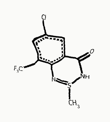 CS1=Nc2c(cc(Cl)cc2C(F)(F)F)C(=O)N1